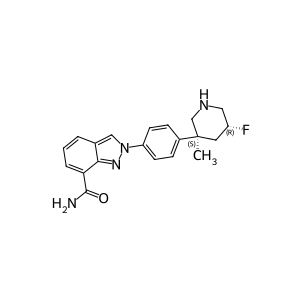 C[C@]1(c2ccc(-n3cc4cccc(C(N)=O)c4n3)cc2)CNC[C@H](F)C1